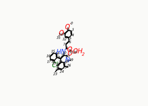 COc1ccc(C=CC(=O)Nc2c(-c3ccccc3Cl)c3cc(C)cc(C)c3n(C)c2=O)cc1OC.O